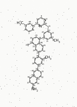 Cc1cccc(-c2ccnc(Cc3cc(C)cc(-c4ccc(I)c5cc(-c6ccc(-c7ccc8cc(N)ccc8c7)cc6C)ccc45)c3)n2)c1